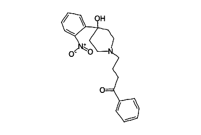 O=C(CCCN1CCC(O)(c2ccccc2[N+](=O)[O-])CC1)c1ccccc1